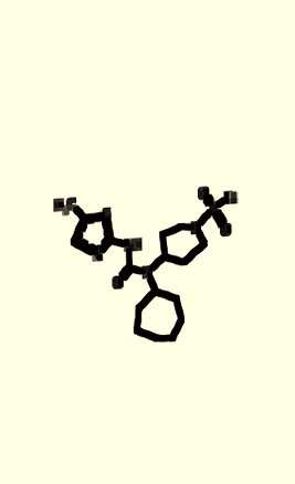 CCS(=O)(=O)N1CCC(N(C(=O)Nc2ncc(C)s2)C2CCCCCC2)CC1